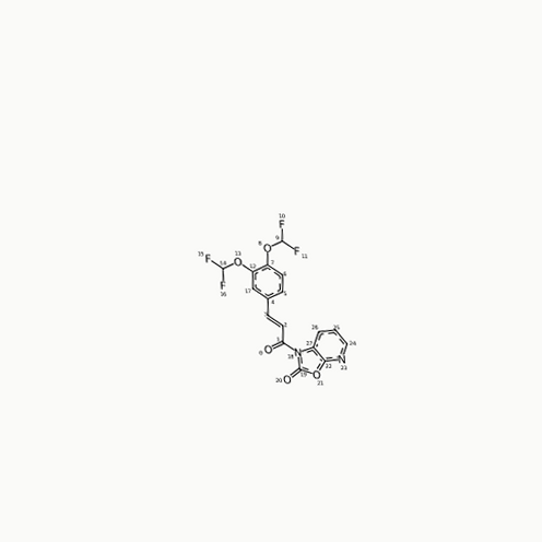 O=C(/C=C/c1ccc(OC(F)F)c(OC(F)F)c1)n1c(=O)oc2ncccc21